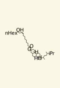 CCCCCC[C@@H](O)C/C=C\CCCCCCCC(=O)OC1CC[C@@]2(C)C(CC[C@H]3[C@@H]4CC[C@H]([C@H](C)CC[C@@H](C)C(C)C)[C@@]4(C)CC[C@@H]32)C1